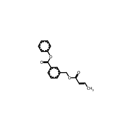 CC=CC(=O)OCc1cccc(C(=O)Oc2ccccc2)c1